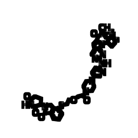 CN(C)C(=O)c1cc2cnc(Nc3ccc(N4CCN(C(=O)COCCSc5cccc6c5CN(C5CCC(=O)NC5=O)C6=O)CC4)cn3)nc2n1C1CCCC1